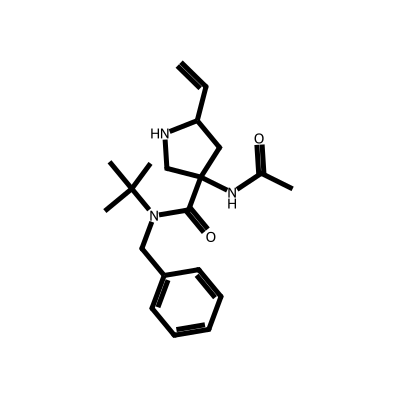 C=CC1CC(NC(C)=O)(C(=O)N(Cc2ccccc2)C(C)(C)C)CN1